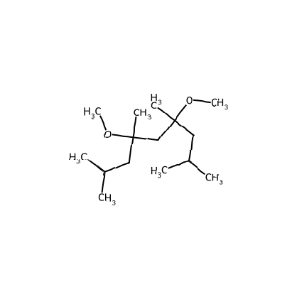 COC(C)(CC(C)C)CC(C)(CC(C)C)OC